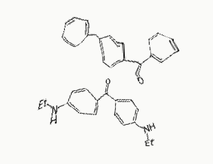 CCNc1ccc(C(=O)c2ccc(NCC)cc2)cc1.O=C(c1ccccc1)c1ccc(-c2ccccc2)cc1